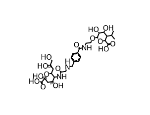 CC(C)C1C(C(=O)O)OC(OCCNC(=O)c2ccc(CNCC(=O)NC3C(C[C@H](O)CO)O[C@@](O)(C(=O)O)C[C@H]3O)cc2)C(O)C1O